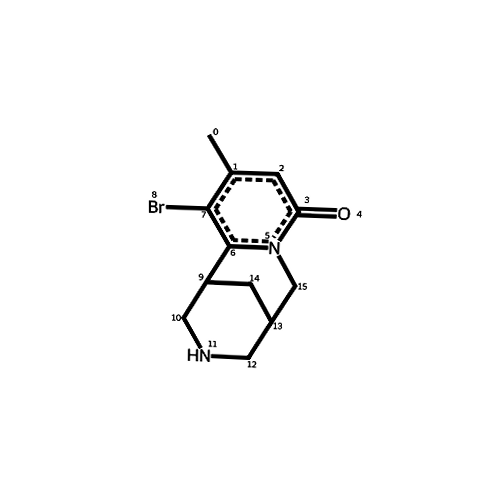 Cc1cc(=O)n2c(c1Br)C1CNCC(C1)C2